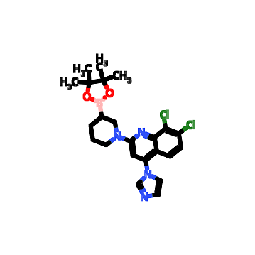 CC1(C)OB(C2CCCN(c3cc(-n4ccnc4)c4ccc(Cl)c(Cl)c4n3)C2)OC1(C)C